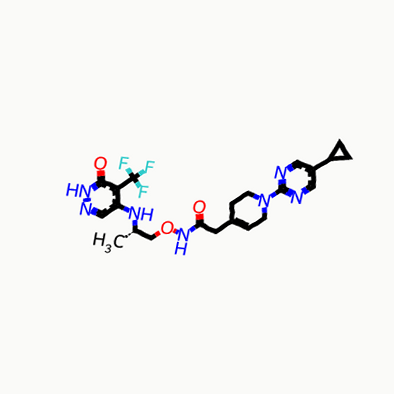 C[C@@H](CONC(=O)CC1=CCN(c2ncc(C3CC3)cn2)CC1)Nc1cn[nH]c(=O)c1C(F)(F)F